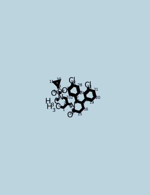 CCC(CN(C)S(=O)(=O)C1CC1)N1C(=O)CCC(c2cccc(Cl)c2)C1c1ccc(Cl)cc1